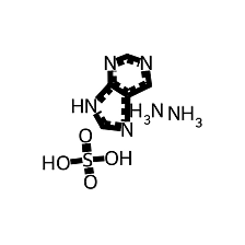 N.N.O=S(=O)(O)O.c1ncc2nc[nH]c2n1